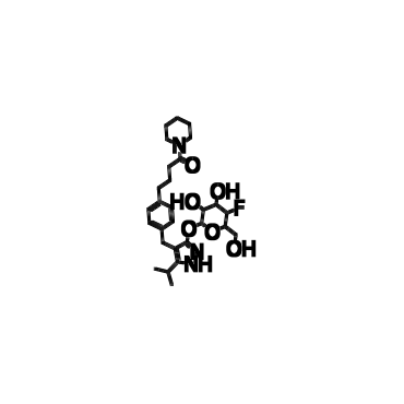 CC(C)c1[nH]nc(OC2OC(CO)C(F)C(O)C2O)c1Cc1ccc(CCCC(=O)N2CCCCC2)cc1